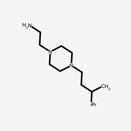 CC(C)C(C)CCN1CCN(CCN)CC1